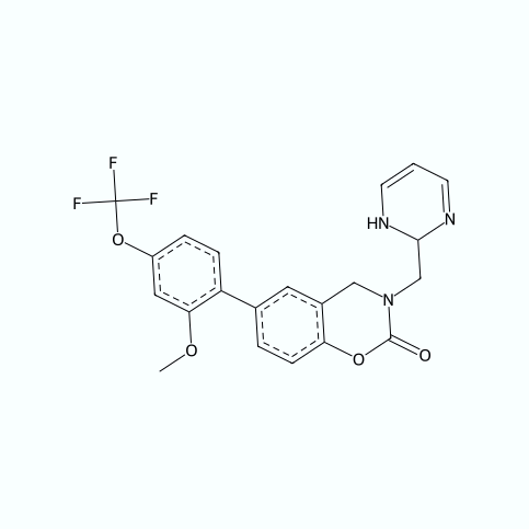 COc1cc(OC(F)(F)F)ccc1-c1ccc2c(c1)CN(CC1N=CC=CN1)C(=O)O2